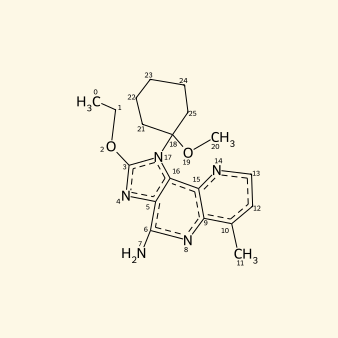 CCOc1nc2c(N)nc3c(C)ccnc3c2n1C1(OC)CCCCC1